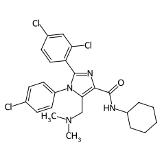 CN(C)Cc1c(C(=O)NC2CCCCC2)nc(-c2ccc(Cl)cc2Cl)n1-c1ccc(Cl)cc1